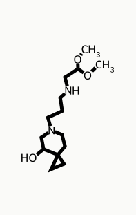 COC(CNCCCN1CCC2(CC2)C(O)C1)OC